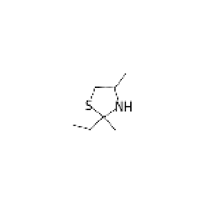 CCC1(C)NC(C)CS1